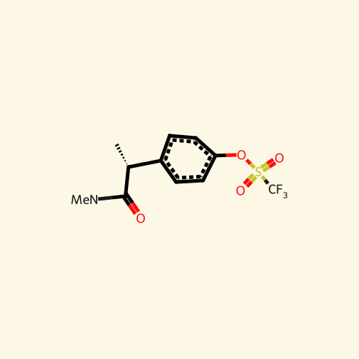 CNC(=O)[C@H](C)c1ccc(OS(=O)(=O)C(F)(F)F)cc1